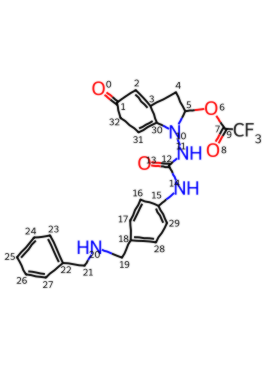 O=C1C=C2CC(OC(=O)C(F)(F)F)N(NC(=O)Nc3ccc(CNCc4ccccc4)cc3)C2=CC1